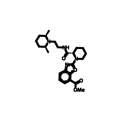 COC(=O)c1cccc2nc(N3CCCC[C@H]3C(=O)NCCN3[C@H](C)CCC[C@@H]3C)oc12